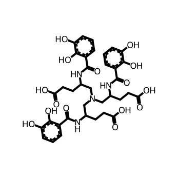 O=C(O)CCC(CN(CC(CCC(=O)O)NC(=O)c1cccc(O)c1O)CC(CCC(=O)O)NC(=O)c1cccc(O)c1O)NC(=O)c1cccc(O)c1O